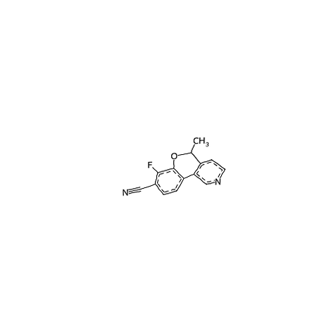 CC1Oc2c(ccc(C#N)c2F)-c2cnccc21